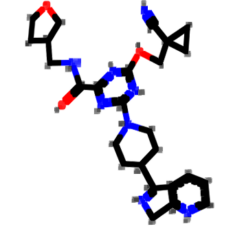 N#CC1(COc2nc(C(=O)NCC3CCOC3)nc(N3CCC(C4=NCc5ncccc54)CC3)n2)CC1